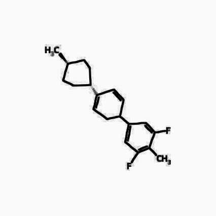 Cc1c(F)cc(C2C=CC([C@H]3CC[C@H](C)CC3)=CC2)cc1F